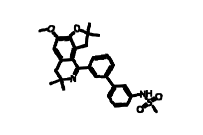 COc1cc2c(c3c1OC(C)(C)C3)C(c1cccc(-c3cccc(NS(C)(=O)=O)c3)c1)=NC(C)(C)C2